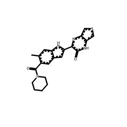 Cc1cc2[nH]c(-c3nc4cscc4[nH]c3=O)cc2cc1C(=O)N1CCCCC1